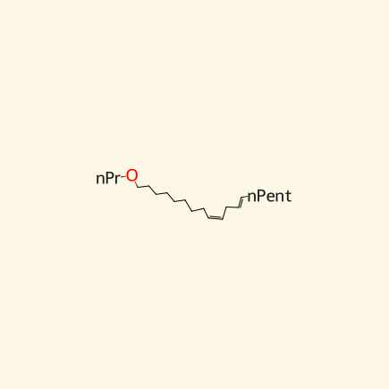 CCCCCC=CC/C=C\CCCCCCCCOCCC